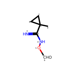 CC1(C(=N)NOC=O)CC1